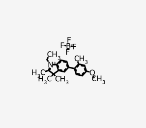 CC[N+]1=C(C)C(C)(C)c2cc(-c3ccc(OC)cc3C)ccc21.F[B-](F)(F)F